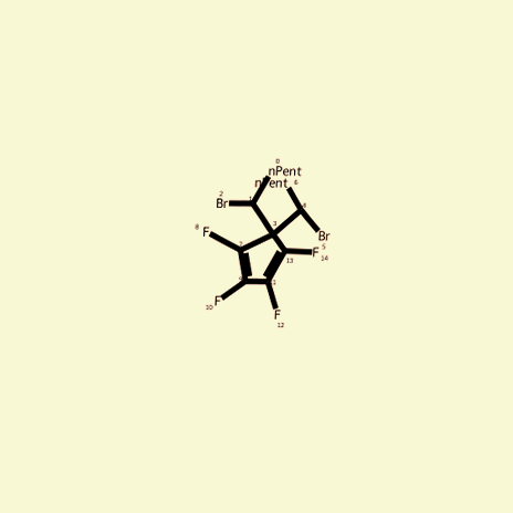 CCCCCC(Br)C1(C(Br)CCCCC)C(F)=C(F)C(F)=C1F